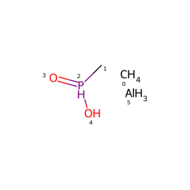 C.C[PH](=O)O.[AlH3]